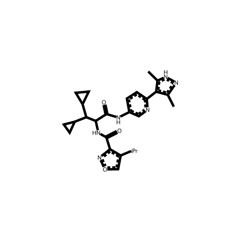 Cc1n[nH]c(C)c1-c1ccc(NC(=O)C(NC(=O)c2nocc2C(C)C)C(C2CC2)C2CC2)cn1